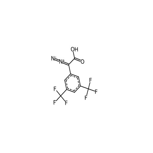 [N-]=[N+]=C(C(=O)O)c1cc(C(F)(F)F)cc(C(F)(F)F)c1